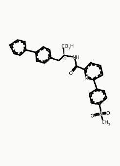 CS(=O)(=O)c1ccc(-c2cccc(C(=O)N[C@@H](Cc3ccc(-c4ccccc4)cc3)C(=O)O)n2)cc1